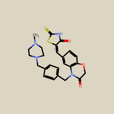 CN1CCN(Cc2ccc(CN3C(=O)COc4ccc(/C=C5/SC(=S)NC5=O)cc43)cc2)CC1